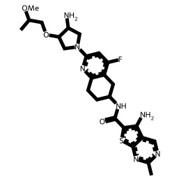 COC(C)COC1CN(c2cc(F)c3c(n2)CCC(NC(=O)c2sc4nc(C)ncc4c2N)C3)CC1N